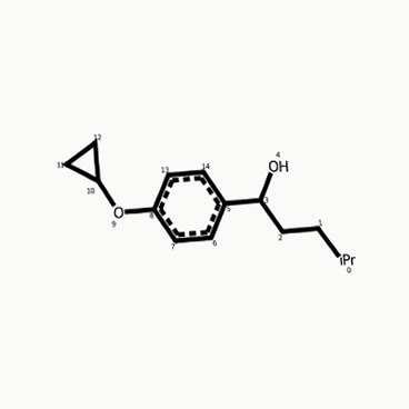 CC(C)CCC(O)c1ccc(OC2CC2)cc1